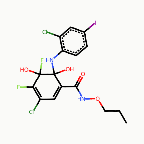 CCCONC(=O)C1=CC(Cl)=C(F)C(O)(F)C1(O)Nc1ccc(I)cc1Cl